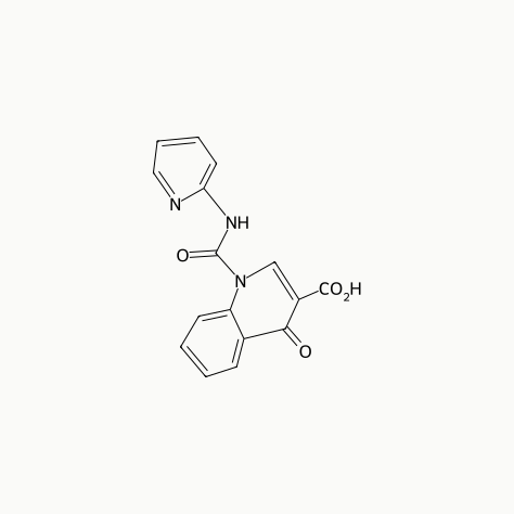 O=C(O)c1cn(C(=O)Nc2ccccn2)c2ccccc2c1=O